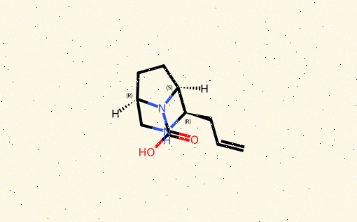 C=CC[C@H]1NC[C@H]2CC[C@@H]1N2C(=O)O